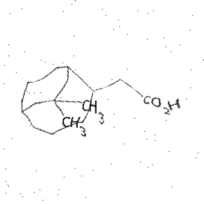 CC1(C)C2CCC(CC(=O)O)C1C2